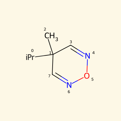 CC(C)C1(C)C=NON=C1